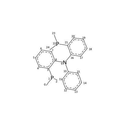 CP(C)c1ccccc1N(c1ccccc1)c1ccccc1P(C)C